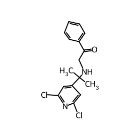 CC(C)(NCC(=O)c1ccccc1)c1cc(Cl)nc(Cl)c1